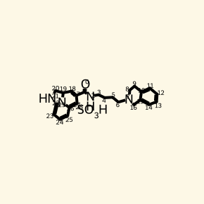 O=C(NCCCCN1CCc2ccccc2C1)C1=CC2CNC3=CC=CC(=C1S(=O)(=O)O)N32